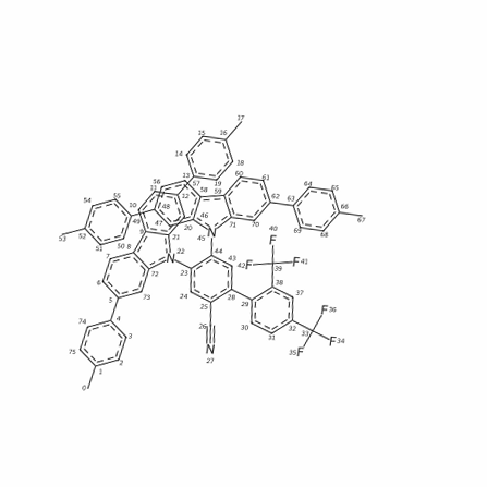 Cc1ccc(-c2ccc3c4ccc(-c5ccc(C)cc5)cc4n(-c4cc(C#N)c(-c5ccc(C(F)(F)F)cc5C(F)(F)F)cc4-n4c5cc(-c6ccc(C)cc6)ccc5c5ccc(-c6ccc(C)cc6)cc54)c3c2)cc1